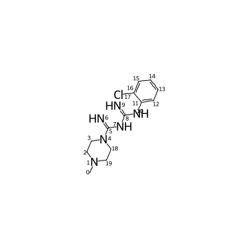 CN1CCN(C(=N)NC(=N)Nc2ccccc2Cl)CC1